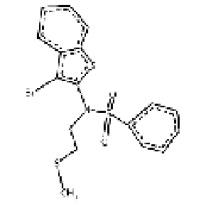 CSCCN(c1sc2ccccc2c1Br)S(=O)(=O)c1ccccc1